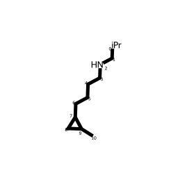 CC(C)CNCCCCC1CC1C